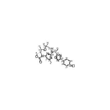 Cc1cc(N2C(=O)OC[C@@H]2[C@@H](C)OC(C)(C)C)nc(N[C@@H](C)c2nc(-c3ccc(Cl)cc3)no2)n1